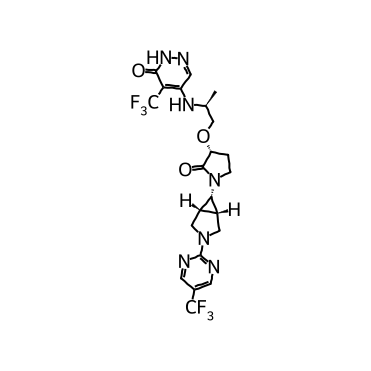 C[C@@H](CO[C@@H]1CCN([C@@H]2[C@@H]3CN(c4ncc(C(F)(F)F)cn4)C[C@@H]32)C1=O)Nc1cn[nH]c(=O)c1C(F)(F)F